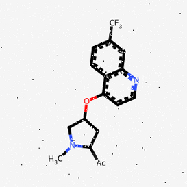 CC(=O)C1CC(Oc2ccnc3cc(C(F)(F)F)ccc23)CN1C